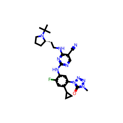 Cn1nnn(-c2cc(Nc3ncc(C#N)c(NCC[C@@H]4CCCN4C(C)(C)C)n3)c(F)cc2C2CC2)c1=O